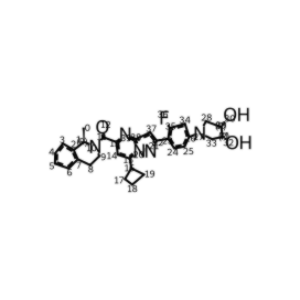 C[C@@H]1c2ccccc2CCN1C(=O)c1cc(C2CCC2)n2nc(-c3ccc(N4C[C@@H](O)[C@H](O)C4)cc3F)cc2n1